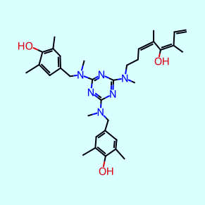 C=C/C(C)=C(O)\C(C)=C/CCN(C)c1nc(N(C)Cc2cc(C)c(O)c(C)c2)nc(N(C)Cc2cc(C)c(O)c(C)c2)n1